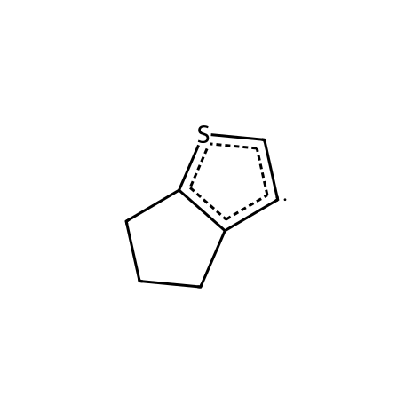 [c]1csc2c1CCC2